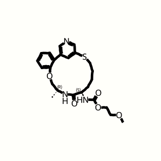 COCCOC(=O)N[C@H]1CCCCSc2cncc(c2)-c2ccccc2OC[C@@H](C)NC1=O